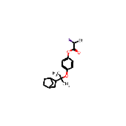 CCC(I)C(=O)Oc1ccc(OC(C)(C)C2CC3CCC2C3)cc1